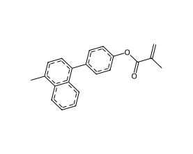 C=C(C)C(=O)Oc1ccc(-c2ccc(C)c3ccccc23)cc1